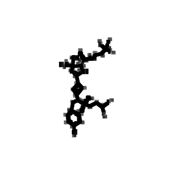 CC1(C)N=C(C23CC(N(Cc4ccc(Cl)cc4)S(=O)(=O)CCC(F)F)(C2)C3)N[C@H]1C(=O)NCCC(F)(F)F